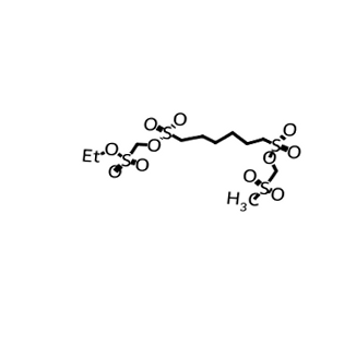 CCOS(=O)(=O)COS(=O)(=O)CCCCCCS(=O)(=O)OCS(C)(=O)=O